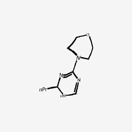 CCCC1N=C(N2CCOCC2)N=[C]N1